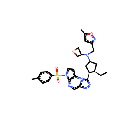 CC[C@@H]1C[C@H](N(Cc2cc(C)on2)C2COC2)C[C@@H]1c1nnc2cnc3c(ccn3S(=O)(=O)c3ccc(C)cc3)n12